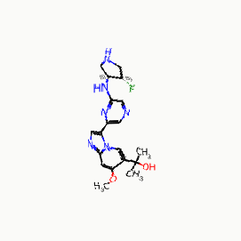 COc1cc2ncc(-c3cncc(N[C@H]4CNC[C@@H]4F)n3)n2cc1C(C)(C)O